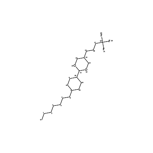 CCCCCCCC1CCC(C2OCC(CCCC(F)(F)F)CO2)CC1